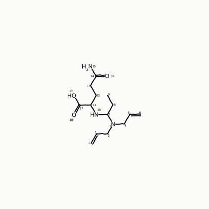 C=CCN(CC=C)C(CC)NC(CCC(N)=O)C(=O)O